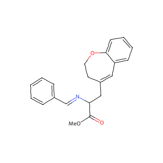 COC(=O)C(CC1=Cc2ccccc2OCC1)N=Cc1ccccc1